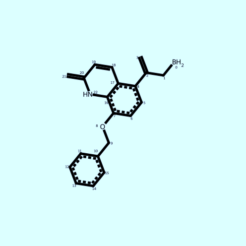 BCC(=C)c1ccc(OCc2ccccc2)c2c1C=CC(=C)N2